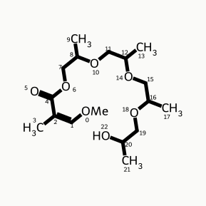 COC=C(C)C(=O)OCC(C)OCC(C)OCC(C)OCC(C)O